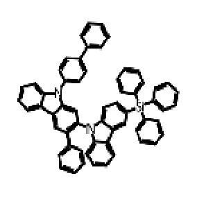 c1ccc(-c2ccc(-n3c4ccccc4c4cc(-c5ccccc5)c(-n5c6ccccc6c6cc([Si](c7ccccc7)(c7ccccc7)c7ccccc7)ccc65)cc43)cc2)cc1